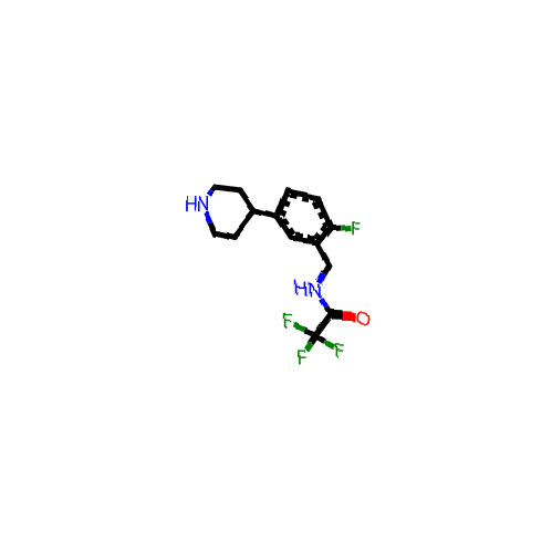 O=C(NCc1cc(C2CCNCC2)ccc1F)C(F)(F)F